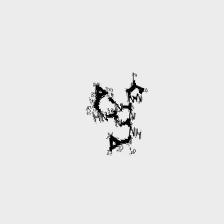 C[C@@H](NC1=NC(n2cc(I)cn2)N(C)C(N[C@H](C)C2CC2)=N1)C1CC1